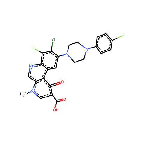 Cn1cc(C(=O)O)c(=O)c2c3cc(N4CCN(c5ccc(F)cc5)CC4)c(Cl)c(F)c3ncc21